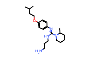 CC(C)CCOc1ccc(/N=C(\NCCCN)N2CCCCC2C)cc1